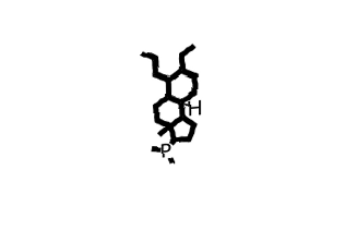 CCCC1C(CC)CC[C@@H]2C1CCC1(C)C2CCC1P(C)C